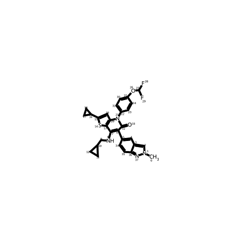 Cn1cc2cc(-c3c(NCC4CC4)c4sc(C5CC5)cc4n(-c4ccc(OC(F)F)cc4)c3=O)ccc2n1